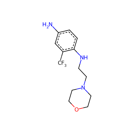 Nc1ccc(NCCN2CCOCC2)c(C(F)(F)F)c1